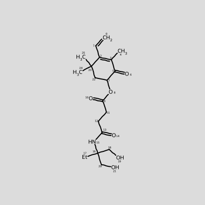 C=CC1=C(C)C(=O)C(OC(=O)CCC(=O)NC(CC)(CO)CO)CC1(C)C